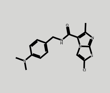 Cc1nc2sc(Cl)cn2c1C(=O)NCc1ccc(N(C)C)cc1